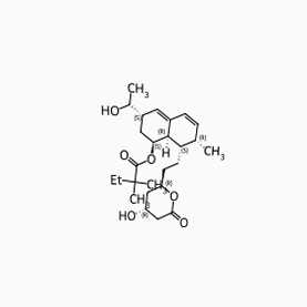 CCC(C)(C)C(=O)O[C@H]1C[C@H](C(C)O)C=C2C=C[C@H](C)[C@H](CC[C@@H]3C[C@@H](O)CC(=O)O3)[C@H]21